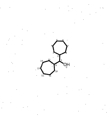 OC(C1CCCCCC1)C1CCCCCC1